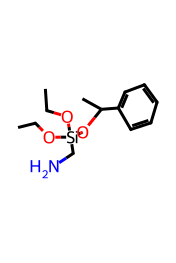 CCO[Si](CN)(OCC)OC(C)c1ccccc1